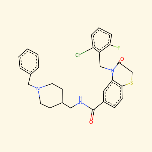 O=C(NCC1CCN(Cc2ccccc2)CC1)c1ccc2c(c1)N(Cc1c(F)cccc1Cl)C(=O)CS2